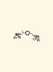 CC(CNS(=O)(=O)C(C)C)c1ccc(CCNS(=O)(=O)C(C)C)cc1